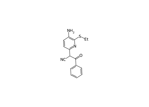 CCSc1nc(C(C#N)C(=O)c2ccccc2)ccc1N